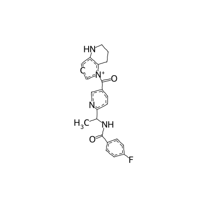 CC(NC(=O)c1ccc(F)cc1)c1ccc(C(=O)[n+]2cccc3c2CCCN3)cn1